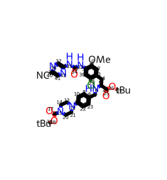 COc1cc(CC(NCc2ccc(N3CCN(C(=O)OC(C)(C)C)CC3)cc2)C(=O)OC(C)(C)C)c(Cl)cc1NC(=O)Nc1cnc(C#N)cn1